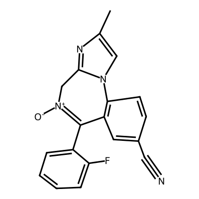 Cc1cn2c(n1)C[N+]([O-])=C(c1ccccc1F)c1cc(C#N)ccc1-2